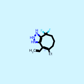 C=C/C1=C(\CC)CCCC(F)(F)C2=C1NNN2